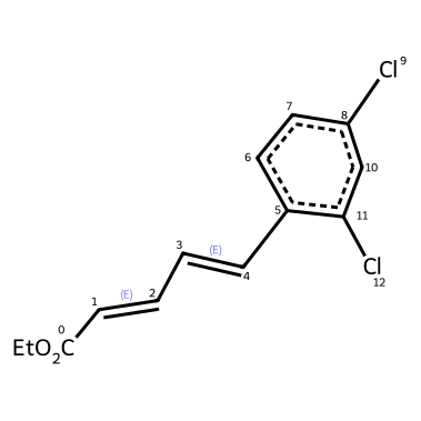 CCOC(=O)/C=C/C=C/c1ccc(Cl)cc1Cl